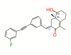 CC1=C2CCC[C@H](O)[C@@]2(C)C/C(=C\c2cccc(C#Cc3cccc(F)c3)c2)C1=O